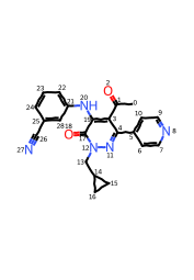 CC(=O)c1c(-c2ccncc2)nn(CC2CC2)c(=O)c1Nc1cccc(C#N)c1